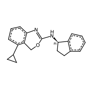 c1ccc2c(c1)CC[C@H]2NC1=Nc2cccc(C3CC3)c2CO1